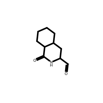 O=[C]C1CC2CCCCC2C(=O)N1